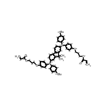 C=CC(=O)OCCCOc1ccc(N(c2ccc(C(C)(C)C)cc2)c2ccc3c(c2)C(C)(C)c2cc(N(c4ccc(OCCCOC(=O)C=C)cc4)c4ccc(C(C)(C)C)cc4)ccc2-3)cc1